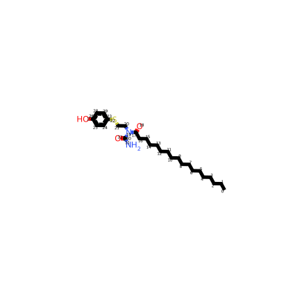 CCCCCCCCCCCCCCCCCC(=O)N(CCSc1ccc(O)cc1)C(N)=O